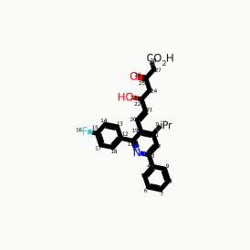 CC(C)c1cc(-c2ccccc2)nc(-c2ccc(F)cc2)c1C=CC(O)CC(=O)CC(=O)O